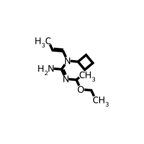 C/C=C/N(/C(N)=N\C(C)OCC)C1CCC1